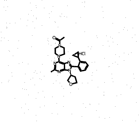 CC(=O)N1CCN(c2nc(C)nc3c2nc(-c2ccccc2C2CC2)n3[C@H]2CCOC2)CC1.Cl